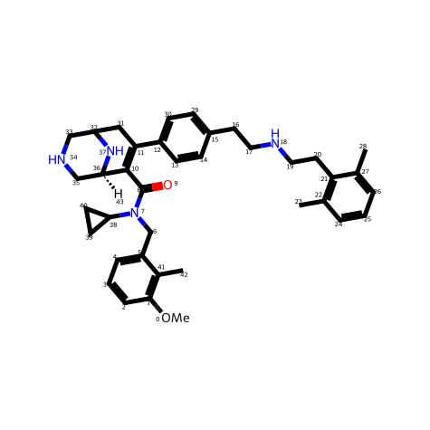 COc1cccc(CN(C(=O)C2=C(c3ccc(CCNCCc4c(C)cccc4C)cc3)CC3CNC[C@H]2N3)C2CC2)c1C